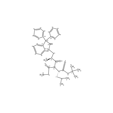 CC(C)C[C@@H](C(=O)OC(C)(C)C)N(C(=O)CN)C(=O)[C@@H](N)CC(=O)NC(c1ccccc1)(c1ccccc1)c1ccccc1